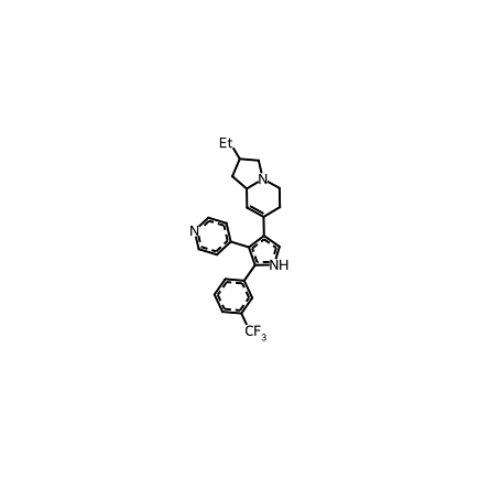 CCC1CC2C=C(c3c[nH]c(-c4cccc(C(F)(F)F)c4)c3-c3ccncc3)CCN2C1